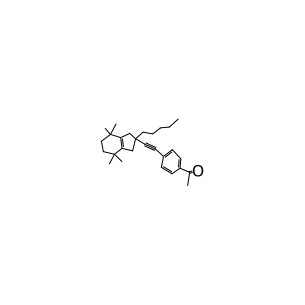 CCCCCC1(C#Cc2ccc(C(C)=O)cc2)CC2=C(C1)C(C)(C)CCC2(C)C